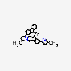 Cc1ccc(-c2ccc3c(c2)[C]([Zr][C]2=C4C=CC=CC4c4ccc(-c5ccc(C)cn5)cc42)=C2C=CC=CC23)nc1